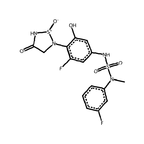 CN(c1cccc(F)c1)S(=O)(=O)Nc1cc(O)c(N2CC(=O)N[S+]2[O-])c(F)c1